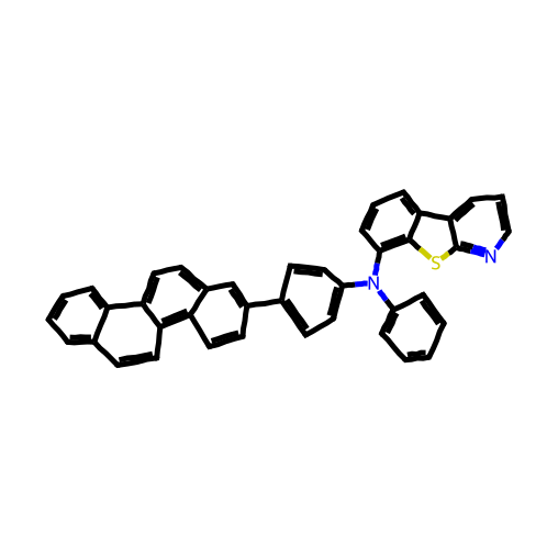 c1ccc(N(c2ccc(-c3ccc4c(ccc5c6ccccc6ccc45)c3)cc2)c2cccc3c2sc2ncccc23)cc1